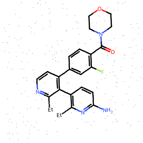 CCc1nc(N)ccc1-c1c(-c2ccc(C(=O)N3CCOCC3)c(F)c2)ccnc1CC